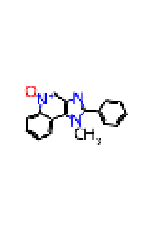 Cn1c(-c2ccccc2)nc2c[n+]([O-])c3ccccc3c21